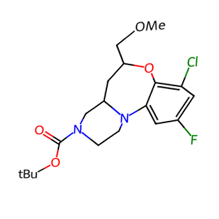 COCC1CC2CN(C(=O)OC(C)(C)C)CCN2c2cc(F)cc(Cl)c2O1